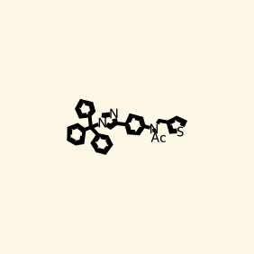 CC(=O)N(Cc1ccsc1)c1ccc(-c2cn(C(c3ccccc3)(c3ccccc3)c3ccccc3)cn2)cc1